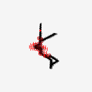 CCCCCCCCCCCCCCCC(=O)OC[C@H](COP(=O)(O)OCC1OC(OC2OC(COP(=O)(O)OCCCOC(=O)CCCCCCCCCCC(CCCC)C(C)CCCC[C@@H]3C[C@@H]3CCCCCCCC(=O)O)C(O)C(O)C2O)C(O)C(O)C1O)OC(=O)CCCCCCCCCCCCCCC